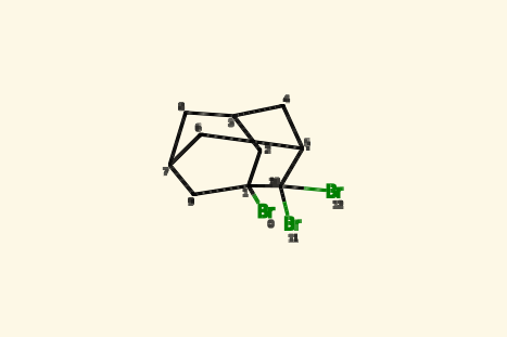 BrC12CC3C[C](CC(C3)C1)C2(Br)Br